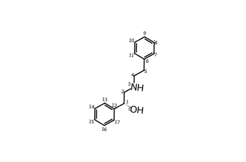 O[C@@H](CNCCc1c[c]ccc1)c1ccccc1